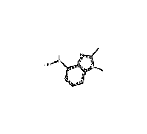 Cc1nc2c(NO)cccc2n1C